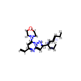 C=Cc1cc(N2CCOCC2)n2nc(C(/C=C\C)=C/C=C/CC)cc2n1